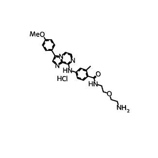 COc1ccc(-c2cnc3c(Nc4ccc(C(=O)NCCOCCN)c(C)c4)nccn23)cc1.Cl